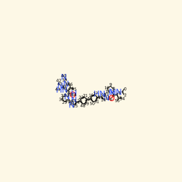 CC(C)N[C@H](C(=O)N1CCC[C@H]1c1ncc(-c2ccc(-c3ccc(-c4cnc([C@@H]5CCCN5C(=O)C(N/C(=N/C#N)N(C)C)C(C)C)[nH]4)cc3)cc2)[nH]1)C(C)C